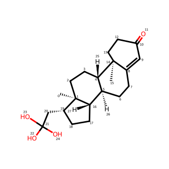 C[C@]12CC[C@H]3[C@@H](CCC4=CC(=O)CC[C@@]43C)[C@@H]1CC[C@@H]2CC(O)(O)O